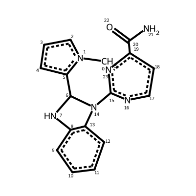 Cn1cccc1C1Nc2ccccc2N1c1nccc(C(N)=O)n1